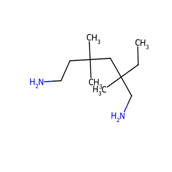 CCC(C)(CN)CC(C)(C)CCN